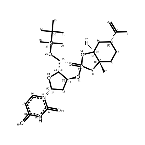 C=C(C)[C@@H]1CC[C@]2(C)SP(=S)(O[C@H]3C[C@H](n4ccc(=O)[nH]c4=O)O[C@@H]3CO[Si](C)(C)C(C)(C)C)O[C@H]2C1